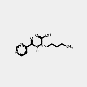 NCCCC[C@H](NC(=O)c1ccncn1)C(=O)O